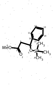 COC(=O)CC(O[Si](C)(C)C)c1ccccc1